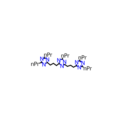 CCCc1nc(CCC)nc(CCCc2nc(CCC)nc(CCCc3nc(CCC)nc(CCC)n3)n2)n1